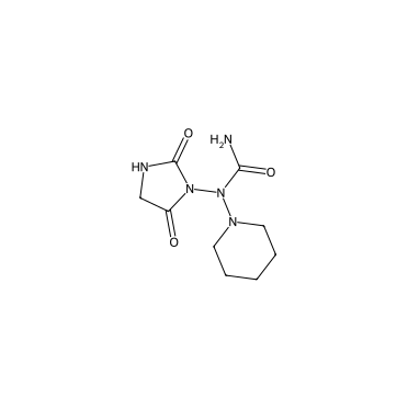 NC(=O)N(N1CCCCC1)N1C(=O)CNC1=O